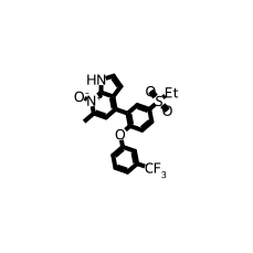 CCS(=O)(=O)c1ccc(Oc2cccc(C(F)(F)F)c2)c(-c2cc(C)[n+]([O-])c3[nH]ccc23)c1